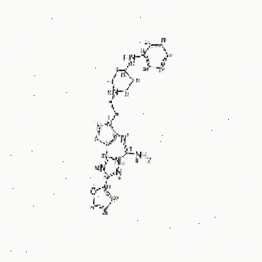 Nc1nc2c(cnn2CCN2CCC(Nc3ccccc3)CC2)c2nc(-c3ccco3)nn12